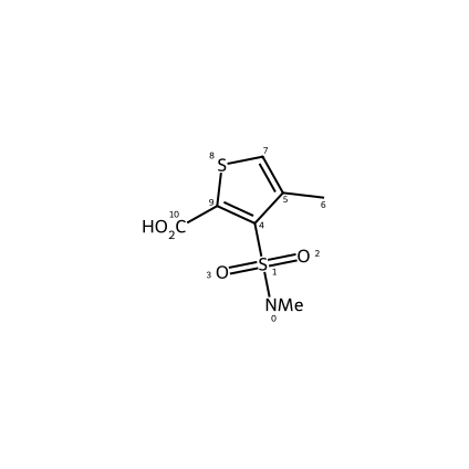 CNS(=O)(=O)c1c(C)csc1C(=O)O